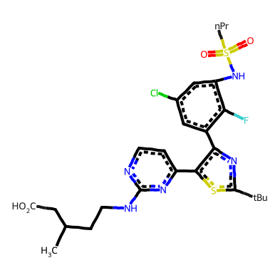 CCCS(=O)(=O)Nc1cc(Cl)cc(-c2nc(C(C)(C)C)sc2-c2ccnc(NCCC(C)CC(=O)O)n2)c1F